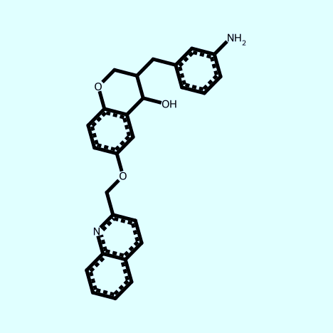 Nc1cccc(CC2COc3ccc(OCc4ccc5ccccc5n4)cc3C2O)c1